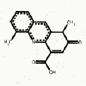 Cc1cccc2cc3c(nc12)C(C(=O)O)=CC(=O)C3C